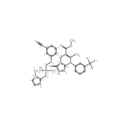 COC(=O)C1=C(C)N(c2cccc(C(F)(F)F)c2)c2n[nH]c(=O)n2[C@@H]1c1ccc(C#N)cc1CC[N+](C)(C)Cc1nccn1C